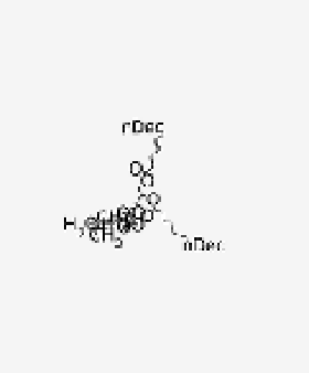 CCCCCCCCCCCC=CC=CC(=O)OC[C@H](COP(=O)([O-])OCC[N+](C)(C)C)OC(=O)CCCCCCCCCCCCCCC